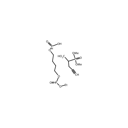 C#CCC(C(=O)O)P(=O)(OC)OC.CCO[PH](=O)OCCCCO[PH](=O)O